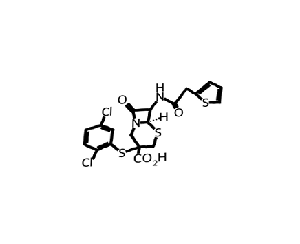 O=C(Cc1cccs1)NC1C(=O)N2CC(Sc3cc(Cl)ccc3Cl)(C(=O)O)CS[C@H]12